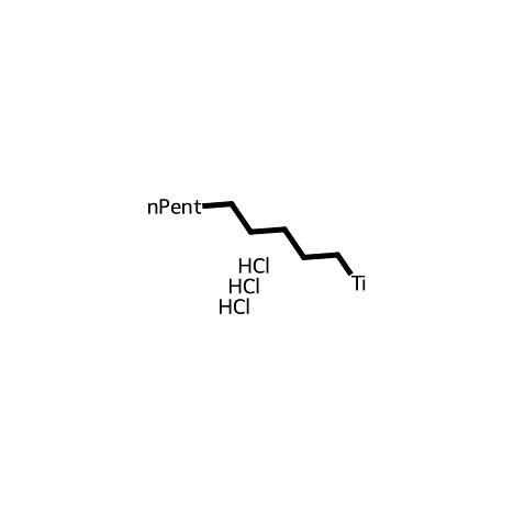 CCCCCCCCC[CH2][Ti].Cl.Cl.Cl